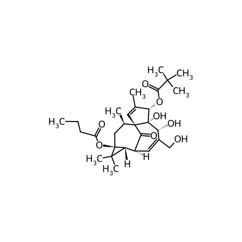 CCCC(=O)O[C@@]12C[C@@H](C)[C@]34C=C(C)[C@H](OC(=O)C(C)(C)C)[C@@]3(O)[C@H](O)C(CO)=C[C@H](C4=O)[C@@H]1C2(C)C